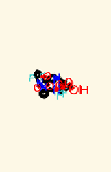 O=C(O)CCCNCCc1ccccc1-n1c(=O)c2c(n(Cc3c(F)cccc3F)c1=O)COC21CCN(Cc2ccc(C(F)(F)F)o2)CC1